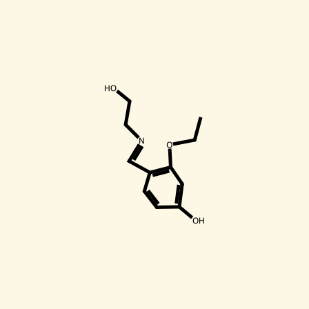 CCOc1cc(O)ccc1C=NCCO